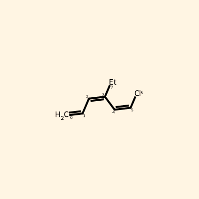 C=C/C=C(\C=C/Cl)CC